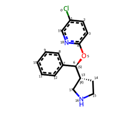 Clc1ccc(O[C@H](c2ccccc2)[C@@H]2CCNC2)nc1